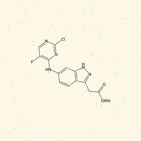 COC(=O)Cc1n[nH]c2cc(Nc3nc(Cl)ncc3F)ccc12